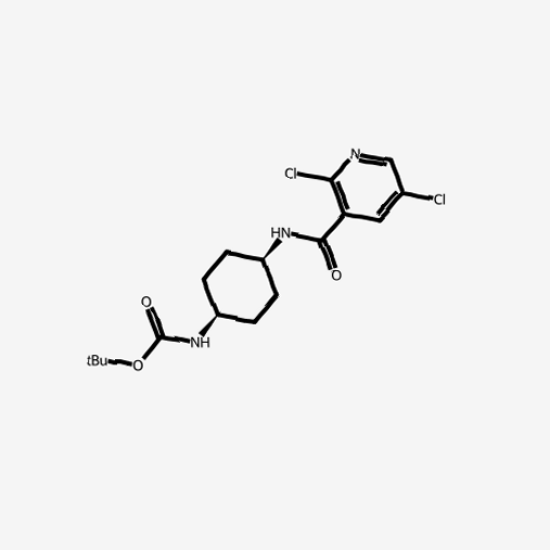 CC(C)(C)OC(=O)N[C@H]1CC[C@@H](NC(=O)c2cc(Cl)cnc2Cl)CC1